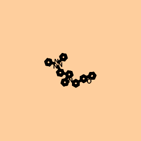 c1ccc(-c2nc(-c3ccccc3)nc(-c3cccc(-c4cccc5c4c4ccccc4n5-c4cccc(-c5ccc6c(c5)oc5ccccc56)c4)c3)n2)cc1